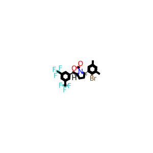 Cc1cc(C)c(Br)c([C@@H]2CC[C@H]3[C@@H](c4cc(C(F)(F)F)cc(C(F)(F)F)c4)OC(=O)N23)c1